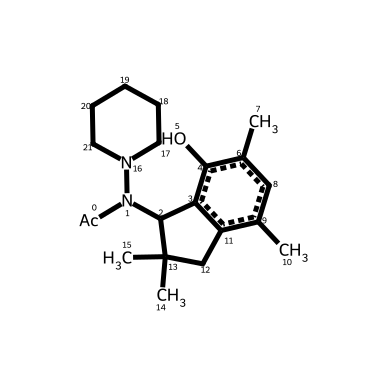 CC(=O)N(C1c2c(O)c(C)cc(C)c2CC1(C)C)N1CCCCC1